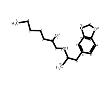 CCCCCC(O)CNC(C)Cc1ccc2c(c1)OCO2